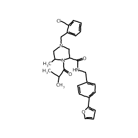 CC(C)C(=O)N1C(C)CN(Cc2ccccc2Cl)CC1C(=O)NCc1ccc(-c2ccco2)cc1